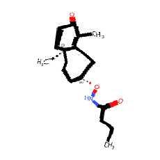 CCCC(=O)NO[C@@H]1CC[C@@]2(C)C=CC(=O)C(C)=C2C1